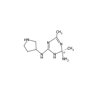 CC1=N[C@@](C)(N)NC(NC2CCNC2)=N1